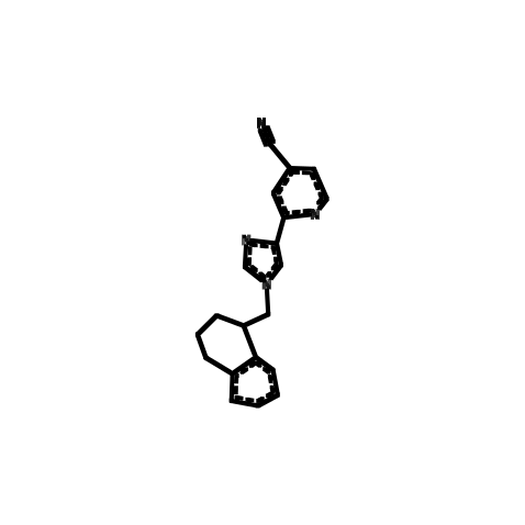 N#Cc1ccnc(-c2cn(CC3CCCc4ccccc43)cn2)c1